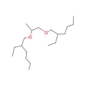 CCCCC(CC)COCC(C)OCC(CC)CCCC